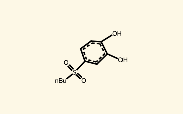 CCCCS(=O)(=O)c1ccc(O)c(O)c1